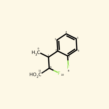 CC(c1ccccc1F)C(F)C(=O)O